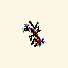 [C-]#[N+]C([N+]#[C-])=C1/C(=C/C2Cc3c(c4sc5c(CCC(CC)CCCC)c6c(sc7c8sc(/C=C9\C(=O)c%10cc(F)c(F)cc%10\C9=C(\C#N)[N+]#[C-])cc8n(CC(CCCCCC)CCCCCCCC)c76)c(OCC(CC)CCCC)c5c4n3CC(CCCCCC)CCCCCCCC)S2)C(=O)c2cc(F)c(F)cc21